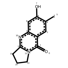 O=c1c2cc(I)c(O)cc2nc2n1CCC2